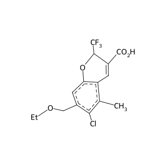 CCOCc1cc2c(c(C)c1Cl)C=C(C(=O)O)C(C(F)(F)F)O2